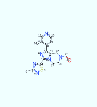 Cc1nsc(-c2nc(-c3ccncc3C)c3n2CCN(C=O)C3)n1